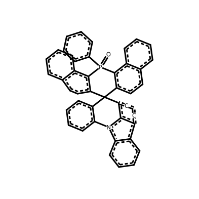 O=P1(c2ccccc2)c2c(ccc3ccccc23)C2(c3ccccc3-n3c4ccccc4c4cccc2c43)c2ccc3ccccc3c21